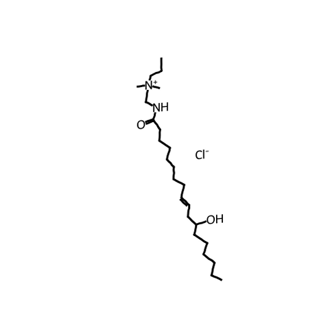 CCCCCCC(O)CC=CCCCCCCCC(=O)NC[N+](C)(C)CCC.[Cl-]